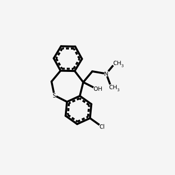 CN(C)CC1(O)c2ccccc2CSc2ccc(Cl)cc21